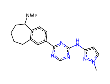 CNC1CCCCc2cc(-c3ncnc(Nc4ccn(C)n4)n3)ccc21